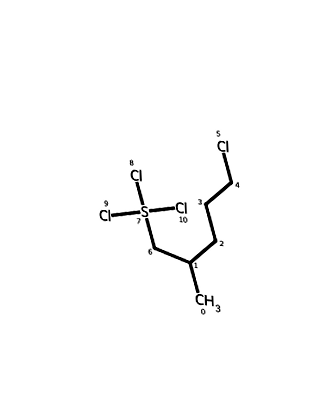 CC(CCCCl)CS(Cl)(Cl)Cl